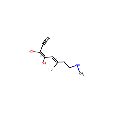 C#C/C(O)=C(O)\C=C(/C)CCNC